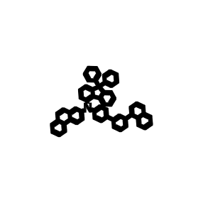 c1ccc(C2(c3ccccc3)c3ccccc3-c3c(N(c4ccc(-c5cccc(-c6cccc7ccccc67)c5)cc4)c4ccc5c(ccc6ccccc65)c4)cccc32)cc1